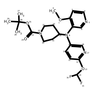 COc1ccncc1N(c1ccc(OC(F)F)nc1)C1CCN(C(=O)OC(C)(C)C)CC1